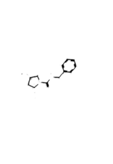 CCC[C@@H]1C[C@@H](C(=O)O)N(C(=O)OCc2ccccc2)C1